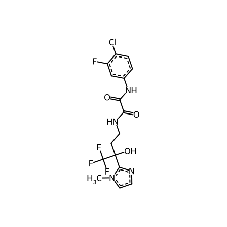 Cn1ccnc1C(O)(CCNC(=O)C(=O)Nc1ccc(Cl)c(F)c1)C(F)(F)F